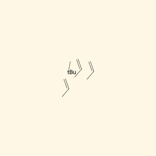 C=CC.C=CC.C=CC.CC(C)(C)C